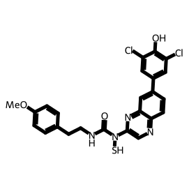 COc1ccc(CCNC(=O)N(S)c2cnc3ccc(-c4cc(Cl)c(O)c(Cl)c4)cc3n2)cc1